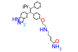 CC(C)/C(=C(/c1ccc(OCCNCC/C=C/C(N)=O)cc1)c1ccc2[nH]nc(F)c2c1)c1ccccc1